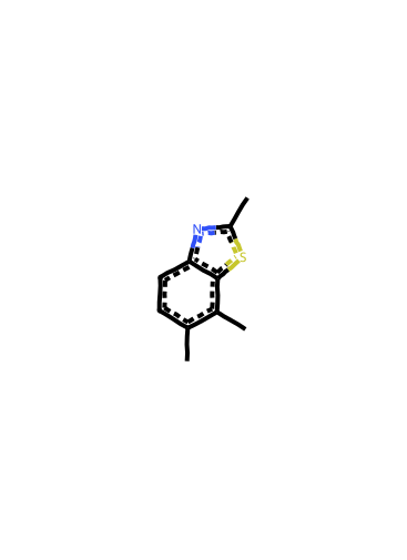 Cc1nc2ccc(C)c(C)c2s1